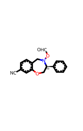 N#Cc1ccc2c(c1)OC[C@H](c1ccccc1)N(OC=O)C2